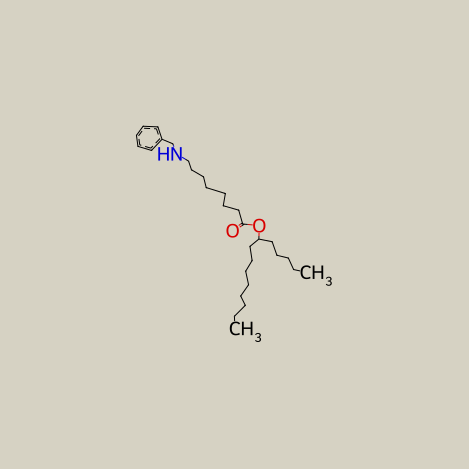 CCCCCCCCC(CCCCC)OC(=O)CCCCCCCNCc1ccccc1